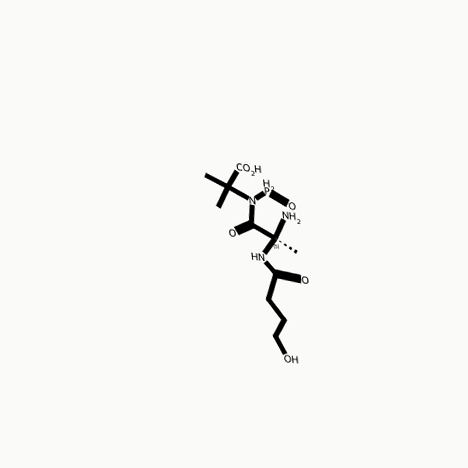 CC(C)(C(=O)O)N([PH2]=O)C(=O)[C@@](C)(N)NC(=O)CCCO